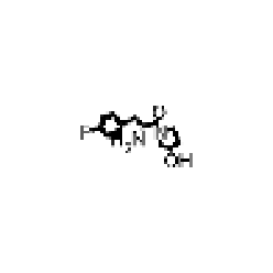 N[C@@H](Cc1ccc(F)cc1)C(=O)N1CC[C@H](O)C1